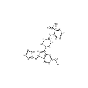 COc1ccc2c(c1)c(C1CCN(Cc3ccccc3C(=O)O)CC1)cn2Cc1cccs1